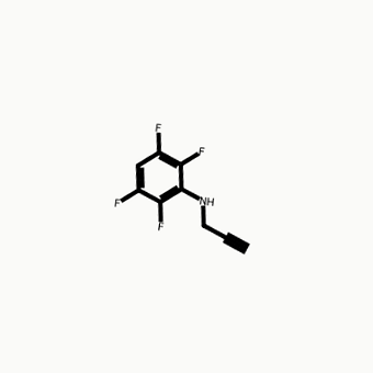 C#CCNc1c(F)c(F)cc(F)c1F